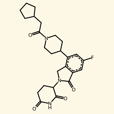 O=C1CCC(N2Cc3c(cc(F)cc3C3CCN(C(=O)CC4CCCC4)CC3)C2=O)C(=O)N1